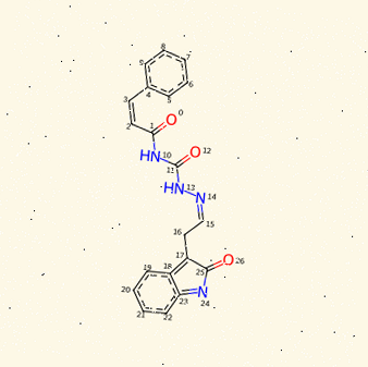 O=C(/C=C\c1ccccc1)NC(=O)N/N=C\CC1=c2ccccc2=NC1=O